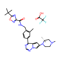 Cc1cc(-c2ncnn3cc(N4CCN(C)C[C@H]4C)cc23)ccc1CNC(=O)c1noc(C(C)(C)C)n1.O=C(O)C(F)(F)F